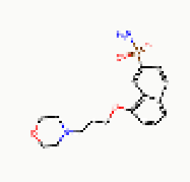 NS(=O)(=O)c1ccc2cccc(OCCCN3CCOCC3)c2c1